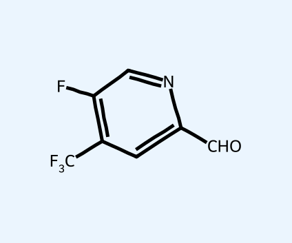 O=Cc1cc(C(F)(F)F)c(F)cn1